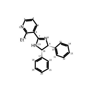 CCc1ncccc1C1=N[C@H](c2ccccc2)[C@H](c2ccccc2)N1